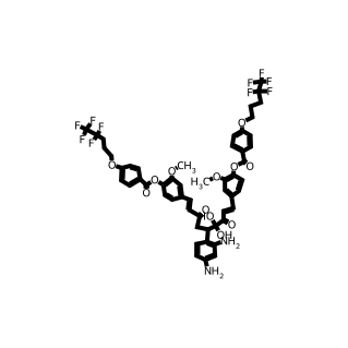 COc1cc(/C=C/C(=O)CC(c2ccc(N)cc2N)C(O)(O)C(=O)/C=C/c2ccc(OC(=O)c3ccc(OCCCC(F)(F)C(F)(F)F)cc3)c(OC)c2)ccc1OC(=O)c1ccc(OCCCC(F)(F)C(F)(F)F)cc1